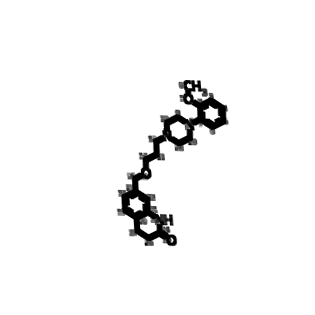 COc1ccccc1N1CCN(CCCOCc2ccc3c(c2)NC(=O)CC3)CC1